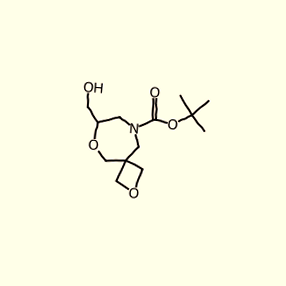 CC(C)(C)OC(=O)N1CC(CO)OCC2(COC2)C1